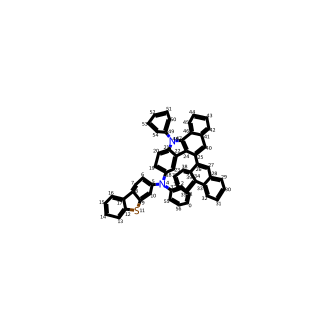 c1ccc(N(c2ccc3c(c2)sc2ccccc23)c2ccc3c(c2)c2c(-c4cc5ccccc5c5ccccc45)cc4ccccc4c2n3-c2ccccc2)cc1